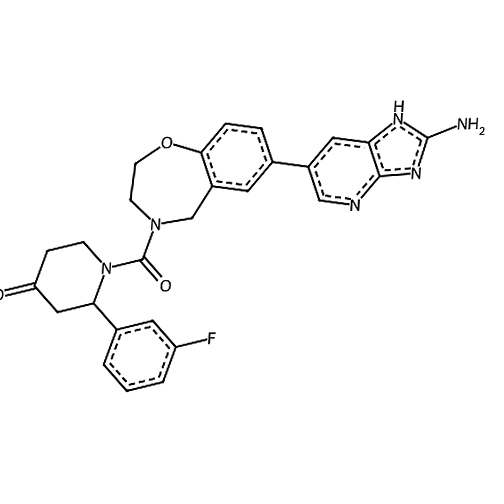 Nc1nc2ncc(-c3ccc4c(c3)CN(C(=O)N3CCC(=O)CC3c3cccc(F)c3)CCO4)cc2[nH]1